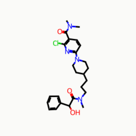 CN(C)C(=O)c1ccc(N2CCC(CCCN(C)C(=O)C(O)c3ccccc3)CC2)nc1Cl